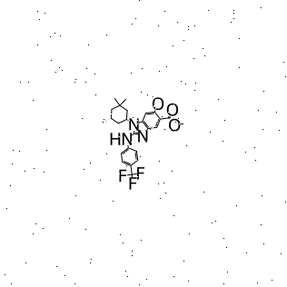 COC(=O)c1cc2nc(Nc3ccc(C(F)(F)F)cc3)n([C@@H]3C[C@H](C)CC(C)(C)C3)c2cc1OC